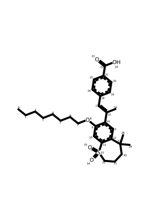 CCCCCCCCOc1cc2c(cc1C(C)=Cc1ccc(C(=O)O)cc1)C(C)(C)CCCS2(=O)=O